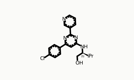 CC(C)[C@@H](CO)Nc1cc(-c2ccc(Cl)cc2)nc(-c2cccnc2)n1